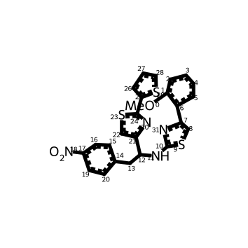 COc1ccccc1-c1csc(NC(Cc2ccc([N+](=O)[O-])cc2)c2csc(-c3cccs3)n2)n1